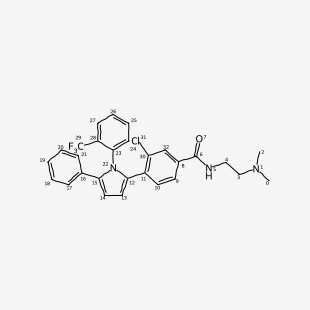 CN(C)CCNC(=O)c1ccc(-c2ccc(-c3ccccc3)n2-c2ccccc2C(F)(F)F)c(Cl)c1